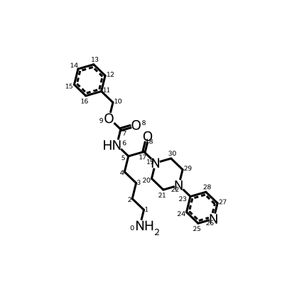 NCCCCC(NC(=O)OCc1ccccc1)C(=O)N1CCN(c2ccncc2)CC1